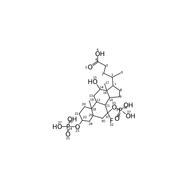 CC(CCC(=O)O)C1CCC2C3C(CC(O)C12C)C1(C)CCC(OP(=O)(O)O)CC1CC3(F)OP(=O)(O)O